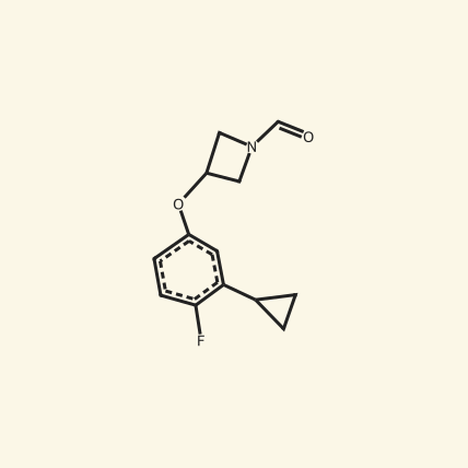 O=CN1CC(Oc2ccc(F)c(C3CC3)c2)C1